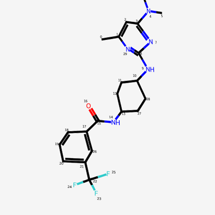 Cc1cc(N(C)C)nc(NC2CCC(NC(=O)c3cccc(C(F)(F)F)c3)CC2)n1